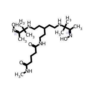 CNC(=O)CCCC(=O)NCCC(CCNC(C)(C)/C(C)=N\O)CCNC(C)(C)/C(C)=N\O